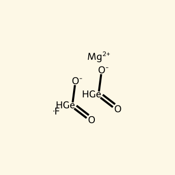 [F].[Mg+2].[O]=[GeH][O-].[O]=[GeH][O-]